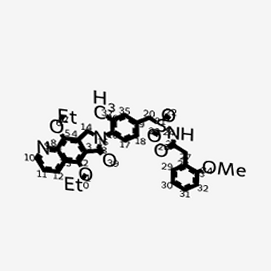 CCOc1c2c(c(OCC)c3ncccc13)CN(c1ccc(CS(=O)(=O)NC(=O)Cc3ccccc3OC)cc1C)C2=O